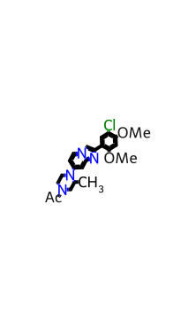 COc1cc(OC)c(-c2cn3ccc(N4CCN(C(C)=O)CC4C)cc3n2)cc1Cl